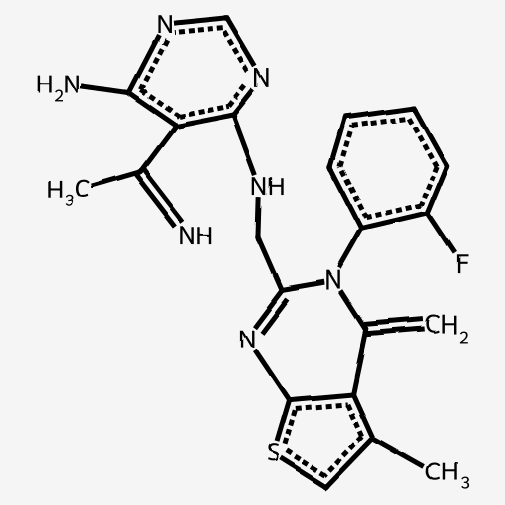 C=C1c2c(C)csc2N=C(CNc2ncnc(N)c2C(C)=N)N1c1ccccc1F